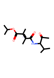 CC(=O)C(NC(=O)/C(C)=C(\C)C(=O)OC(C)C)C(C)C